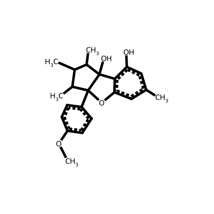 COc1ccc(C23Oc4cc(C)cc(O)c4C2(O)C(C)C(C)C3C)cc1